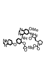 COc1cc2ncnc(Nc3ccc(Oc4ccn5ncnc5c4)cc3OC3COC3)c2cc1NC(=O)C(F)=CC1CCCN1C(=O)OC(C)(C)C